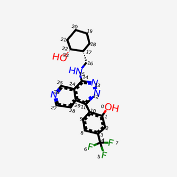 Oc1cc(C(F)(F)F)ccc1-c1nnc(NC[C@H]2CCCC[C@H]2O)c2cnccc12